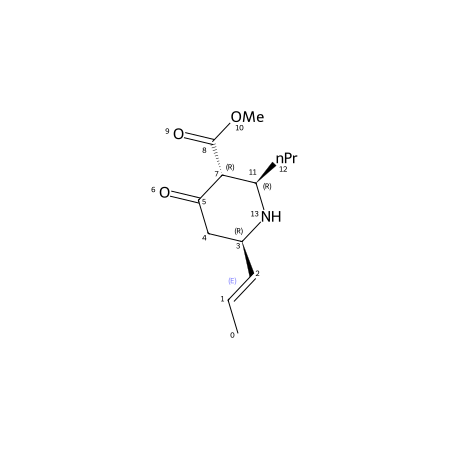 C/C=C/[C@H]1CC(=O)[C@H](C(=O)OC)[C@@H](CCC)N1